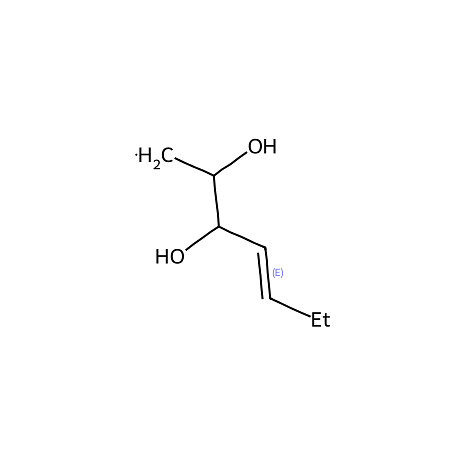 [CH2]C(O)C(O)/C=C/CC